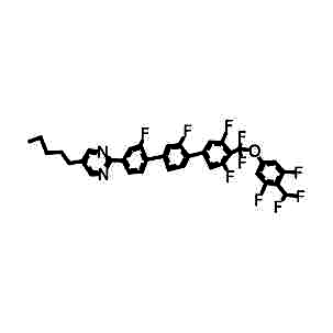 CCCCCc1cnc(-c2ccc(-c3ccc(-c4cc(F)c(C(F)(F)Oc5cc(F)c(C(F)F)c(F)c5)c(F)c4)c(F)c3)c(F)c2)nc1